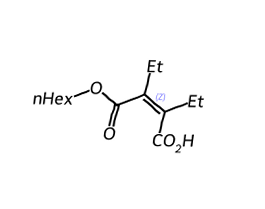 CCCCCCOC(=O)/C(CC)=C(/CC)C(=O)O